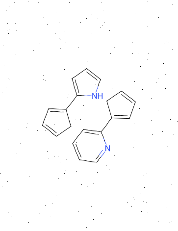 C1=CCC(c2ccc[nH]2)=C1.C1=CCC(c2ccccn2)=C1